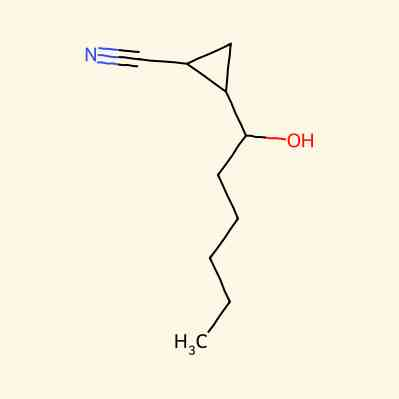 CCCCCC(O)C1CC1C#N